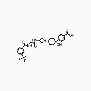 O=C(CNC(=O)c1cccc(C(F)(F)F)c1)NC1CN([C@H]2CC[C@@](O)(c3ccc(C(=O)O)cc3)CC2)C1